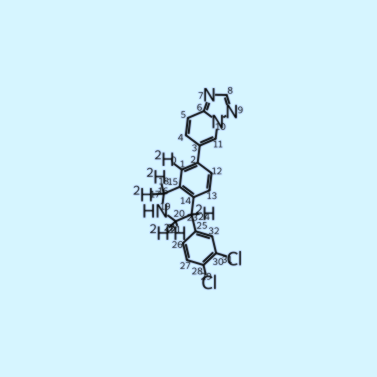 [2H]c1c(-c2ccc3ncnn3c2)ccc2c1C([2H])([2H])NC([2H])([2H])C2([2H])c1ccc(Cl)c(Cl)c1